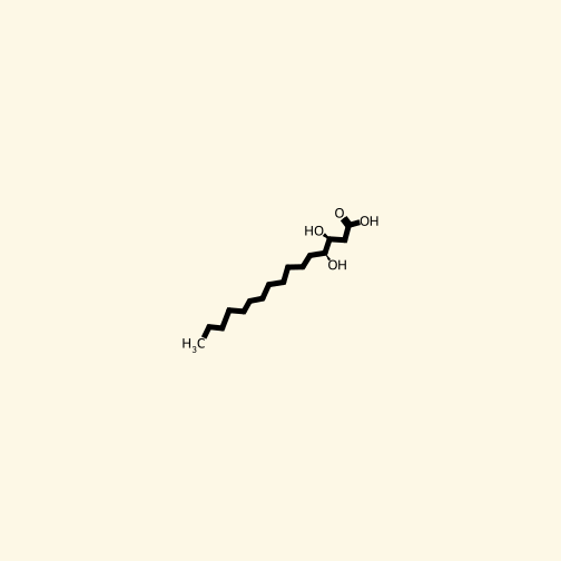 CCCCCCCCCCCC[C@@H](O)[C@@H](O)CC(=O)O